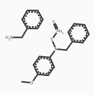 COc1ccc(N(Cc2ccccc2)S[PH2]=S)cc1.NCc1ccccc1